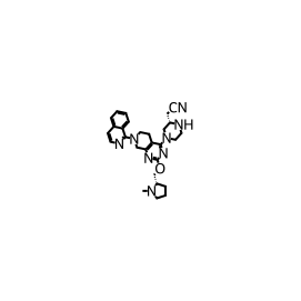 CN1CCC[C@H]1COc1nc2c(c(N3CCN[C@@H](CC#N)C3)n1)CCN(c1nccc3ccccc13)C2